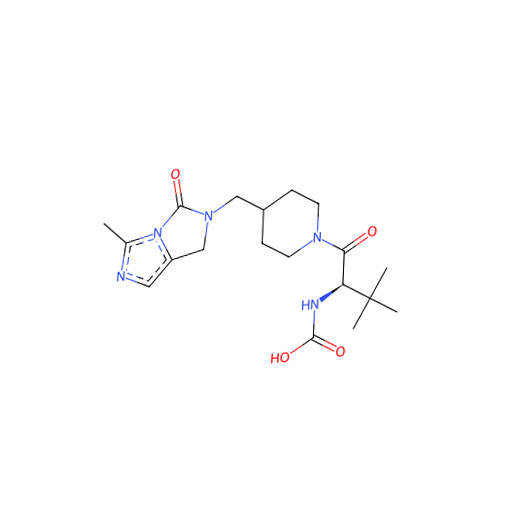 Cc1ncc2n1C(=O)N(CC1CCN(C(=O)[C@H](NC(=O)O)C(C)(C)C)CC1)C2